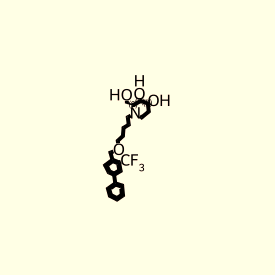 OC[C@H]1[C@@H](O)[C@H](O)CCN1CCCCCOCc1ccc(-c2ccccc2)cc1C(F)(F)F